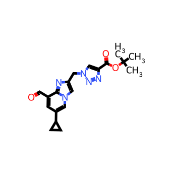 CC(C)(C)OC(=O)c1cn(Cc2cn3cc(C4CC4)cc(C=O)c3n2)nn1